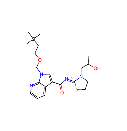 CC(O)CN1CCS/C1=N\C(=O)c1cn(COCC[Si](C)(C)C)c2ncccc12